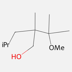 COC(C)(C)C(C)(CO)CC(C)C